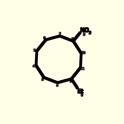 CCC1CCCCCCC([N+](=O)[O-])CC1